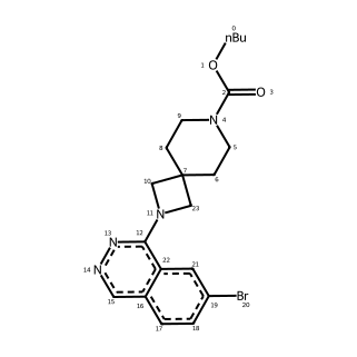 CCCCOC(=O)N1CCC2(CC1)CN(c1nncc3ccc(Br)cc13)C2